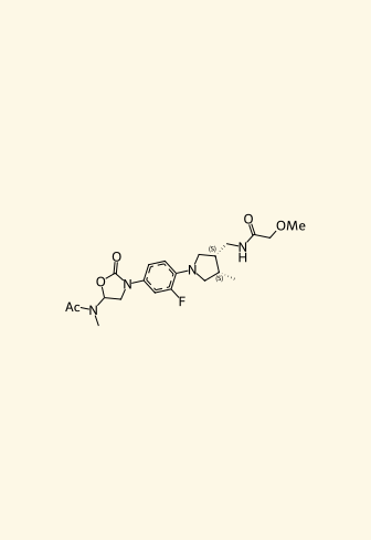 COCC(=O)NC[C@H]1CN(c2ccc(N3CC(N(C)C(C)=O)OC3=O)cc2F)C[C@H]1C